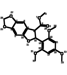 COC(=O)C1c2cc3c(cc2OC1c1c(OC)cc(OC)cc1OC)OCO3